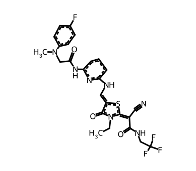 CCn1c(=C(C#N)C(=O)NCC(F)(F)F)sc(=CNc2cccc(NC(=O)CN(C)c3ccc(F)cc3)n2)c1=O